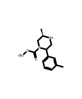 Cc1cccc(C2CN[C@H](C)CN2C(=O)OC(C)(C)C)c1